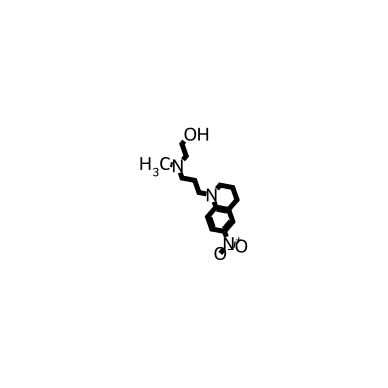 CN(CCO)CCCN1CCCc2cc([N+](=O)[O-])ccc21